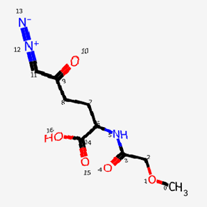 COCC(=O)NC(CCC(=O)C=[N+]=[N-])C(=O)O